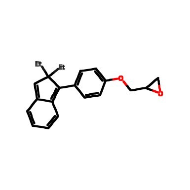 CCC1(CC)C=c2ccccc2=C1c1ccc(OCC2CO2)cc1